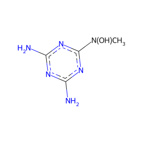 CN(O)c1nc(N)nc(N)n1